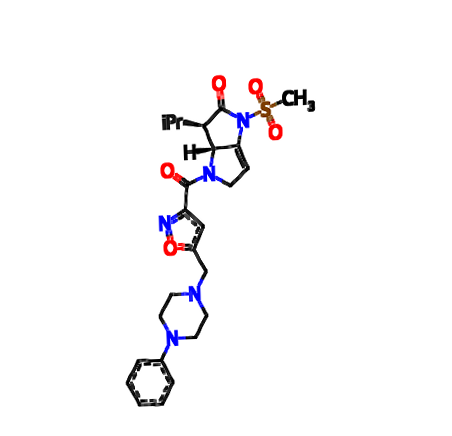 CC(C)[C@H]1C(=O)N(S(C)(=O)=O)C2=CCN(C(=O)c3cc(CN4CCN(c5ccccc5)CC4)on3)[C@@H]21